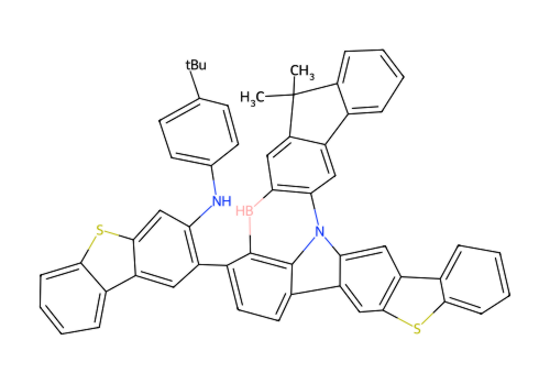 CC(C)(C)c1ccc(Nc2cc3sc4ccccc4c3cc2-c2ccc3c4cc5sc6ccccc6c5cc4n4c3c2Bc2cc3c(cc2-4)-c2ccccc2C3(C)C)cc1